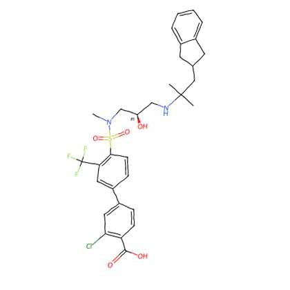 CN(C[C@H](O)CNC(C)(C)CC1Cc2ccccc2C1)S(=O)(=O)c1ccc(-c2ccc(C(=O)O)c(Cl)c2)cc1C(F)(F)F